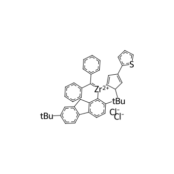 CC1C=C(c2cccs2)C=[C]1[Zr+2](=[C](c1ccccc1)c1ccccc1)[c]1c(C(C)(C)C)ccc2c1Cc1cc(C(C)(C)C)ccc1-2.[Cl-].[Cl-]